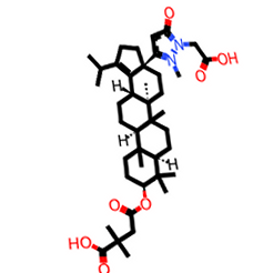 CC(C)C1=C2[C@H]3CC[C@@H]4C5(C)CC[C@H](OC(=O)CC(C)(C)C(=O)O)C(C)(C)[C@@H]5CCC4(C)[C@]3(C)CC[C@@]2(c2cc(=O)n(CC(=O)O)n2C)CC1